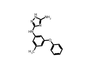 Cc1cc(Nc2n[nH]c(N)n2)cc(Oc2ccccc2)c1